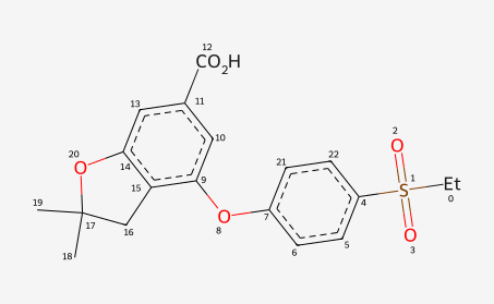 CCS(=O)(=O)c1ccc(Oc2cc(C(=O)O)cc3c2CC(C)(C)O3)cc1